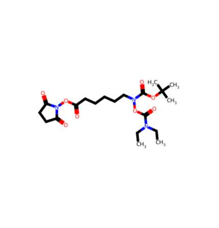 CCN(CC)C(=O)ON(CCCCCC(=O)ON1C(=O)CCC1=O)C(=O)OC(C)(C)C